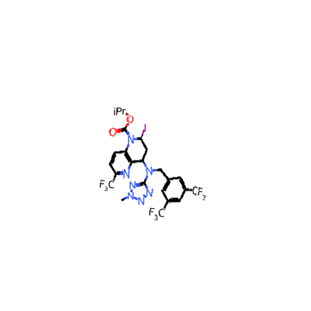 CC(C)OC(=O)N1c2ccc(C(F)(F)F)nc2[C@H](N(Cc2cc(C(F)(F)F)cc(C(F)(F)F)c2)c2nnn(C)n2)C[C@@H]1I